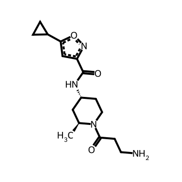 C[C@H]1C[C@H](NC(=O)c2cc(C3CC3)on2)CCN1C(=O)CCN